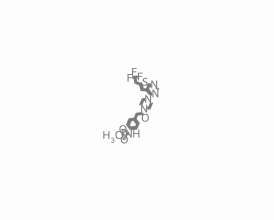 CS(=O)(=O)Nc1ccc(CC(=O)N2CCN(c3ncnc4sc(CC(F)(F)F)cc34)CC2)cc1